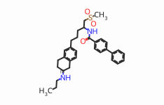 CCCN[C@H]1CCc2cc(CCCC(CS(C)(=O)=O)NC(=O)c3ccc(-c4ccccc4)cc3)ccc2C1